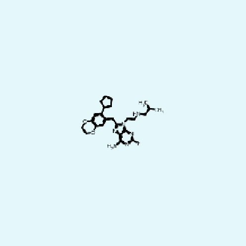 CC(C)CNCCn1c(Cc2cc3c(cc2C2CCCC2)OCCO3)nc2c(N)nc(F)nc21